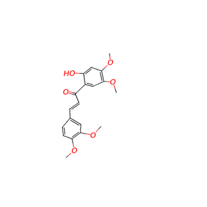 COc1ccc(C=CC(=O)c2cc(OC)c(OC)cc2O)cc1OC